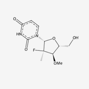 CO[C@@H]1[C@@H](CO)O[C@@H](n2ccc(=O)[nH]c2=O)[C@]1(C)F